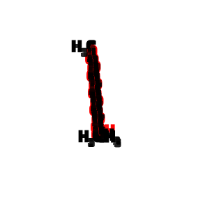 CCCCOCCCCCC(=O)OCCCCCC(=O)OCCCCCC(=O)OCCCCCC(=O)OCCCCCC(=O)OCCCCCC(=O)OCCCCCC(=O)OCCCCCC(=O)OCCCCCC(=O)OCC(O)COC(=O)C(C)(C)CC